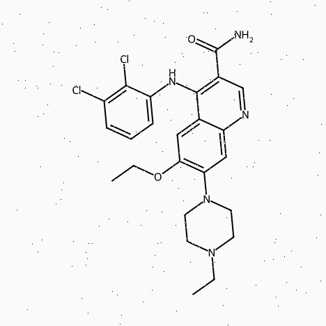 CCOc1cc2c(Nc3cccc(Cl)c3Cl)c(C(N)=O)cnc2cc1N1CCN(CC)CC1